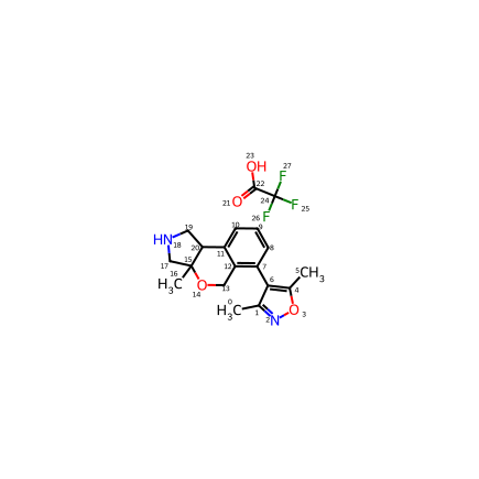 Cc1noc(C)c1-c1cccc2c1COC1(C)CNCC21.O=C(O)C(F)(F)F